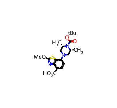 COc1nc2c(C(=O)O)ccc(N3C[C@H](C)N(C(=O)OC(C)(C)C)[C@@H](C)C3)c2s1